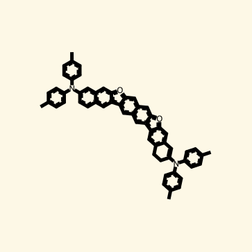 Cc1ccc(N(C2=Cc3cc4oc5cc6cc7oc8cc9cc(N(c%10ccc(C)cc%10)c%10ccc(C)cc%10)ccc9cc8c7cc6cc5c4cc3CC2)c2ccc(C)cc2)cc1